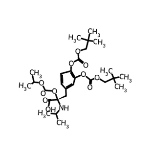 CC(C)N[C@@](Cc1ccc(OC(=O)OCC(C)(C)C)c(OC(=O)OCC(C)(C)C)c1)(OC(=O)OC(C)C)C(=O)O